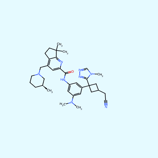 C[C@H]1CCCN(Cc2cc(C(=O)Nc3cc(N(C)C)cc(C4(c5nncn5C)CC(CC#N)C4)c3)nc3c2CCC3(C)C)C1